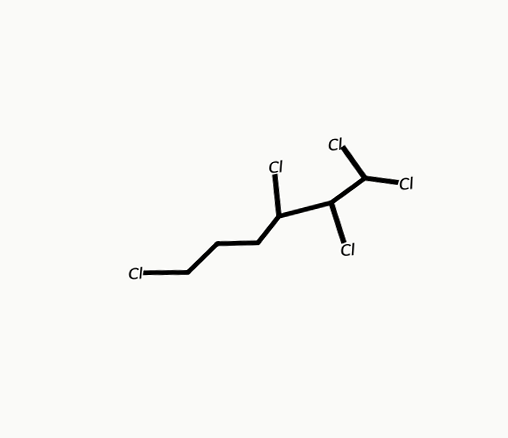 ClCCCC(Cl)C(Cl)C(Cl)Cl